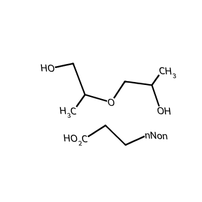 CC(O)COC(C)CO.CCCCCCCCCCCC(=O)O